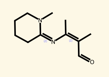 C/C(C=O)=C(C)/N=C1/CCCCN1C